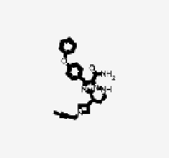 CC#CCN1CC(C2CCNn3c2nc(-c2ccc(Oc4ccccc4)cc2)c3C(N)=O)C1